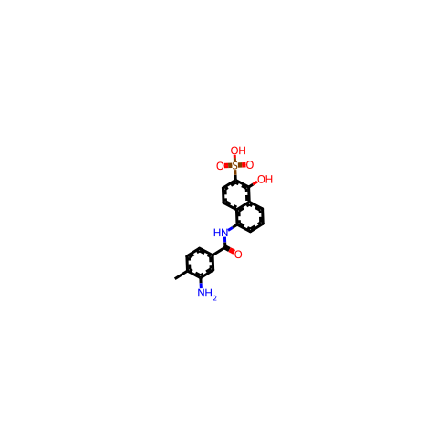 Cc1ccc(C(=O)Nc2cccc3c(O)c(S(=O)(=O)O)ccc23)cc1N